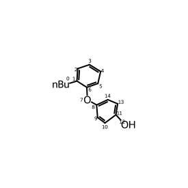 CCCCc1ccccc1Oc1ccc(O)cc1